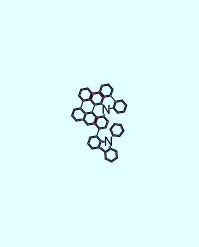 c1ccc(-c2ccccc2N(c2ccc(-c3cccc4c5ccccc5n(-c5ccccc5)c34)cc2)c2ccccc2-c2cccc3cccc(-c4ccccc4)c23)cc1